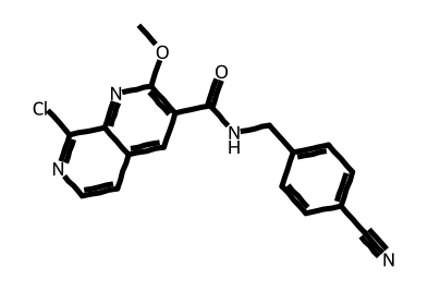 COc1nc2c(Cl)nccc2cc1C(=O)NCc1ccc(C#N)cc1